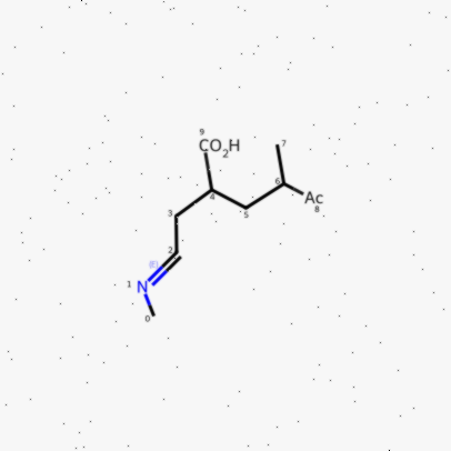 C/N=C/CC(CC(C)C(C)=O)C(=O)O